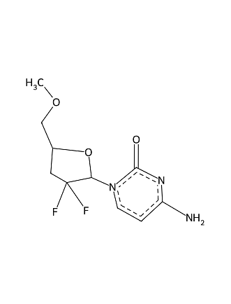 COCC1CC(F)(F)C(n2ccc(N)nc2=O)O1